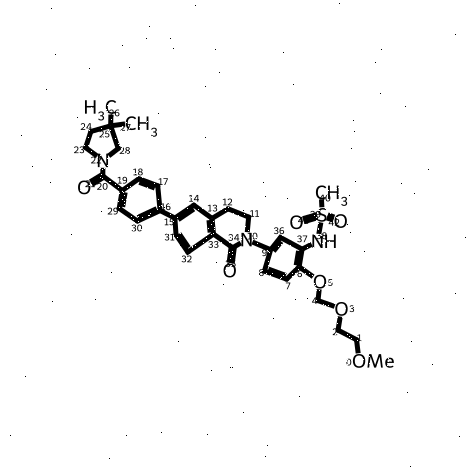 COCCOCOc1ccc(N2CCc3cc(-c4ccc(C(=O)N5CCC(C)(C)C5)cc4)ccc3C2=O)cc1NS(C)(=O)=O